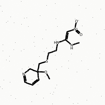 CNC(=C[N+](=O)[O-])NCCSCC1(OC)C=CC=NC1